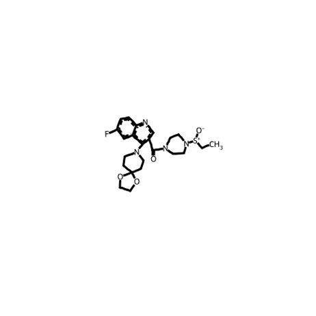 CC[S+]([O-])N1CCN(C(=O)c2cnc3ccc(F)cc3c2N2CCC3(CC2)OCCO3)CC1